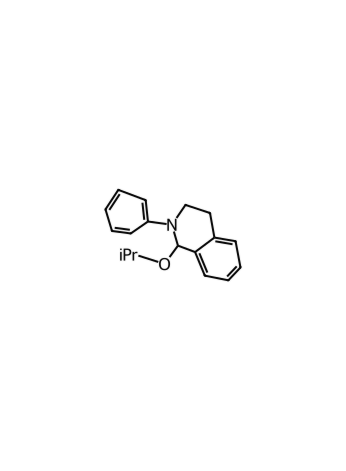 CC(C)OC1c2ccccc2CCN1c1ccccc1